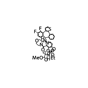 CCOP(=O)(NC1(C(=O)OC)CC1)Oc1c2n(ccc1=O)N([C@@H]1c3ccccc3-c3sccc3-c3c1ccc(F)c3F)[C@@H]1COCCN1C2=O